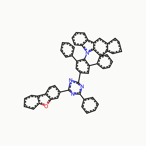 c1ccc(-c2nc(-c3cc(-c4ccccc4)c(-n4c5ccccc5c5cc6ccccc6cc54)c(-c4ccccc4)c3)nc(-c3ccc4c(c3)oc3ccccc34)n2)cc1